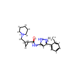 Cc1ccccc1-c1cc(NC(=O)C2CC2CN2CCCCC2)[nH]n1